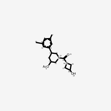 CC(=O)OC1CC(c2cc(C)cc(C)c2)CN(C(=O)N2CC(O)C2)C1